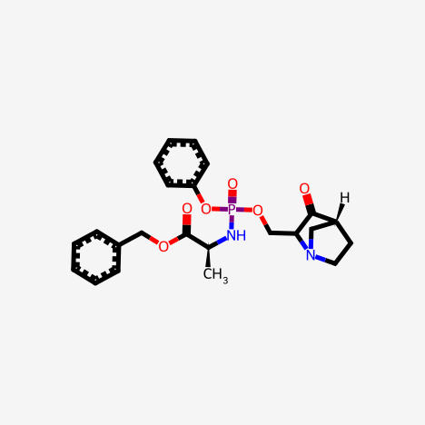 C[C@H](NP(=O)(OCC1C(=O)[C@@H]2CCN1C2)Oc1ccccc1)C(=O)OCc1ccccc1